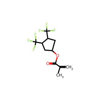 C=C(C)C(=O)OC1CC(C(F)(F)F)C(C(F)(F)F)C1